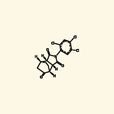 O=C1C[C@H]2CC[C@@H]1[C@H]1C(=O)N(c3cc(Cl)c(Cl)cc3Cl)C(=O)[C@@H]21